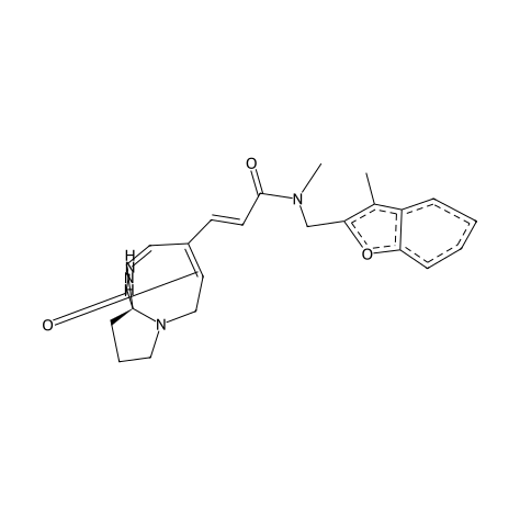 Cc1c(CN(C)C(=O)/C=C/C2=CCN3CCC[C@]34CC(=O)NNC4=C2)oc2ccccc12